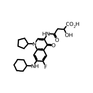 O=C(CC(O)C(=O)O)Nc1cn(C2CCCC2)c2cc(NC3CCCCC3)c(F)cc2c1=O